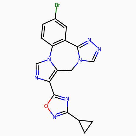 Brc1ccc2c(c1)-c1nncn1Cc1c(-c3nc(C4CC4)no3)ncn1-2